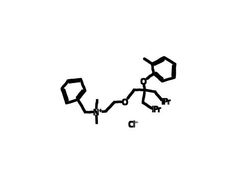 Cc1ccccc1OC(COCC[N+](C)(C)Cc1ccccc1)(CC(C)C)CC(C)C.[Cl-]